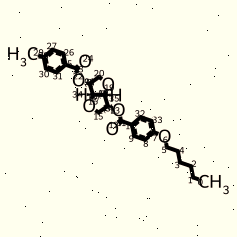 CCCCCCOc1ccc(C(=O)O[C@H]2CO[C@H]3[C@@H]2OC[C@H]3OC(=O)c2ccc(C)cc2)cc1